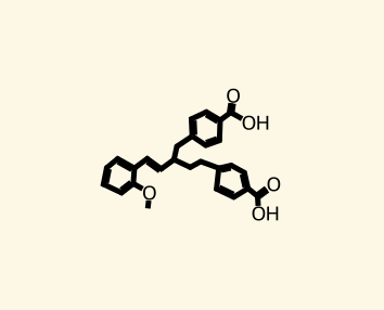 COc1ccccc1/C=C/C(CCc1ccc(C(=O)O)cc1)Cc1ccc(C(=O)O)cc1